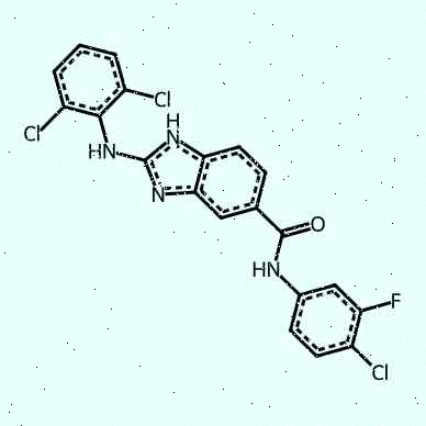 O=C(Nc1ccc(Cl)c(F)c1)c1ccc2[nH]c(Nc3c(Cl)cccc3Cl)nc2c1